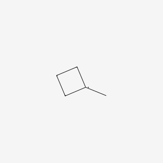 C[C]1CCC1